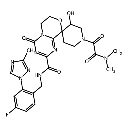 Cc1ncn(-c2cc(F)ccc2CNC(=O)c2cc(=O)n3c(n2)C2(CCN(C(=O)C(=O)N(C)C)CC2O)OCC3)n1